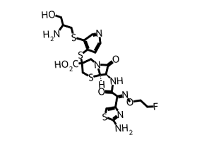 Nc1nc(C(=NOCCF)C(=O)N[C@@H]2C(=O)N3CC(Sc4ccncc4SCC(N)CO)(C(=O)O)CS[C@H]23)cs1